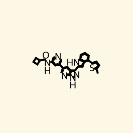 Cc1ccc(-c2cccc3[nH]c(-c4n[nH]c5ncc(-c6cncc(NC(=O)C7CCC7)c6)cc45)cc23)s1